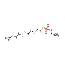 CCCCCCCCCCCOS(=O)(=O)OCC